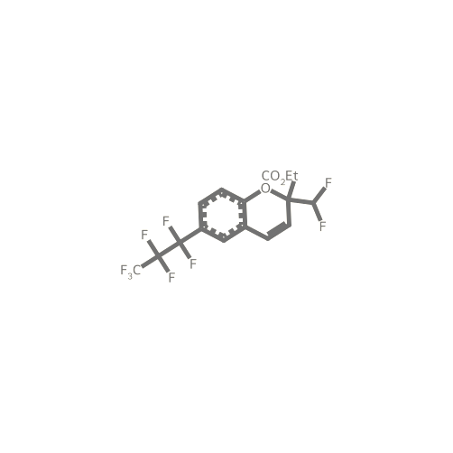 CCOC(=O)C1(C(F)F)C=Cc2cc(C(F)(F)C(F)(F)C(F)(F)F)ccc2O1